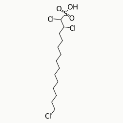 O=S(=O)(O)C(Cl)C(Cl)CCCCCCCCCCCCCl